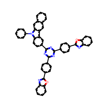 c1ccc(-n2c3ccc(-c4nc(-c5ccc(-c6nc7ccccc7o6)cc5)nc(-c5ccc(-c6nc7ccccc7o6)cc5)n4)cc3c3cc4ccccc4cc32)cc1